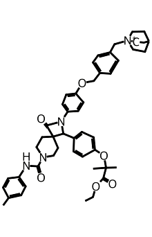 CCOC(=O)C(C)(C)Oc1ccc(C2N(c3ccc(OCc4ccc(C[N+]56CCC(CC5)CC6)cc4)cc3)C(=O)C23CCN(C(=O)Nc2ccc(C)cc2)CC3)cc1